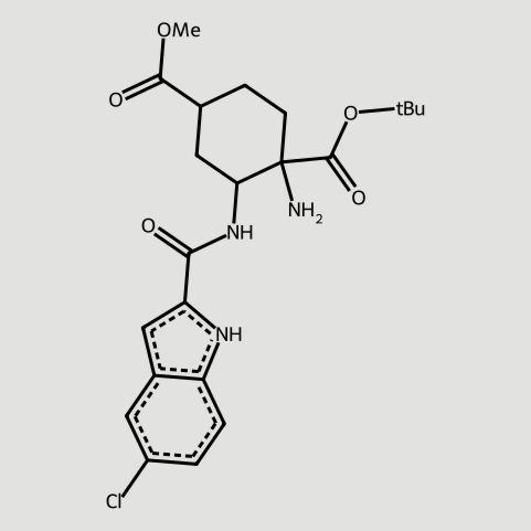 COC(=O)C1CCC(N)(C(=O)OC(C)(C)C)C(NC(=O)c2cc3cc(Cl)ccc3[nH]2)C1